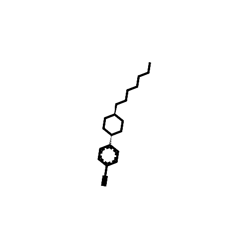 C#Cc1ccc([C@H]2CC[C@H](CCCCCCC)CC2)cc1